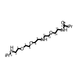 CC(C)NCCOCCOCCNCCOCCNC(=O)C(C)C